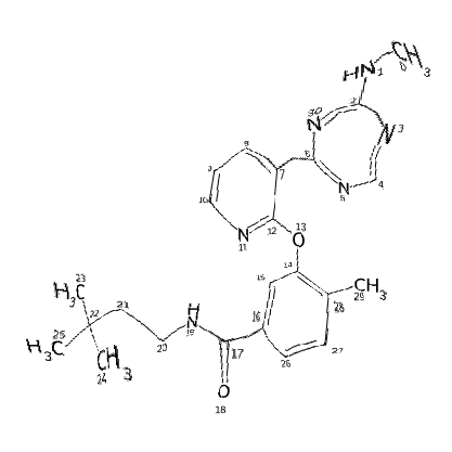 CNc1ncnc(-c2cccnc2Oc2cc(C(=O)NCCC(C)(C)C)ccc2C)n1